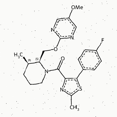 COc1cnc(OC[C@@H]2[C@H](C)CCCN2C(=O)c2nc(C)sc2-c2ccc(F)cc2)nc1